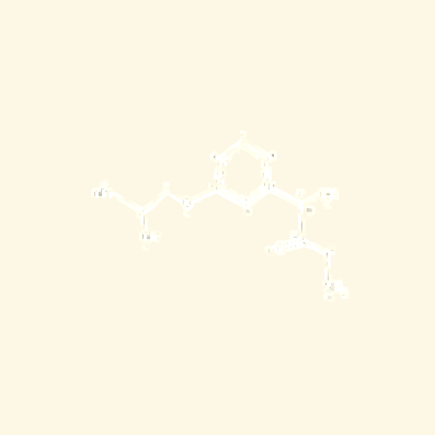 CCCC(CCC)COc1cccc([C@H](O)C(=O)CN)c1